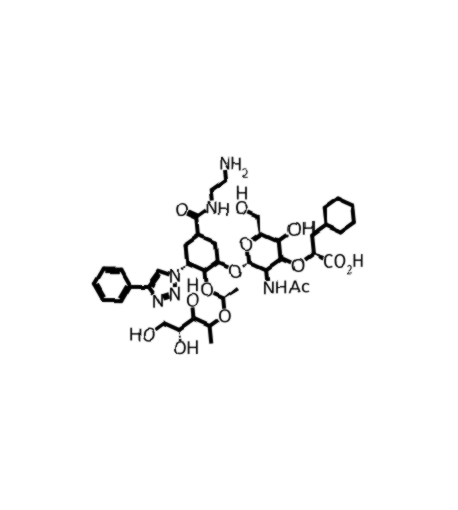 CC(=O)NC1C(O[C@@H](CC2CCCCC2)C(=O)O)C(O)[C@H](CO)O[C@H]1OC1CC(C(=O)NCCN)C[C@@H](n2cc(-c3ccccc3)nn2)C1O[C@@H](C)OC(C)C(O)[C@H](O)CO